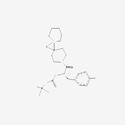 CC(C)(C)OC(=O)N[C@H](Cc1ccc(Cl)cc1)C(=O)N1CCC2(CC1)C[N+]21CCCCC1.[Cl-]